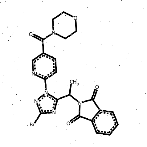 CC(c1nc(Br)nn1-c1ccc(C(=O)N2CCOCC2)cn1)N1C(=O)c2ccccc2C1=O